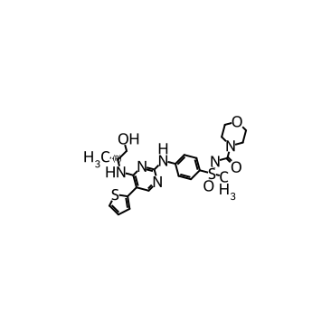 C[C@H](CO)Nc1nc(Nc2ccc(S(C)(=O)=NC(=O)N3CCOCC3)cc2)ncc1-c1cccs1